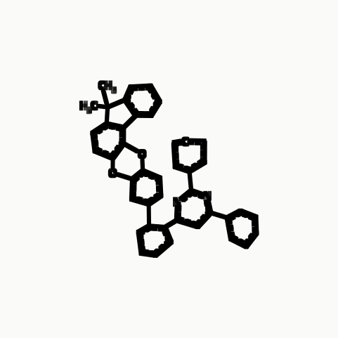 CC1(C)c2ccccc2-c2c1ccc1c2Oc2ccc(-c3ccccc3-c3cc(-c4ccccc4)nc(-c4ccccc4)n3)cc2O1